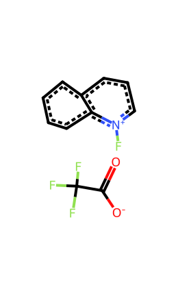 F[n+]1cccc2ccccc21.O=C([O-])C(F)(F)F